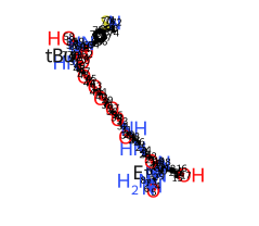 CCn1c(-c2nonc2N)nc2c(C#CC(C)(C)O)ncc(OCCCNCCCC(=O)NCCOCCOCCOCCOCCOCCC(=O)N[C@H](C(=O)N3C[C@H](O)C[C@H]3C(=O)NCc3ccc(-c4scnc4C)cc3)C(C)(C)C)c21